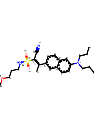 CCCN(CCC)c1ccc2cc(/C(C)=C(\C#N)S(=O)(=O)NCCCOC)ccc2c1